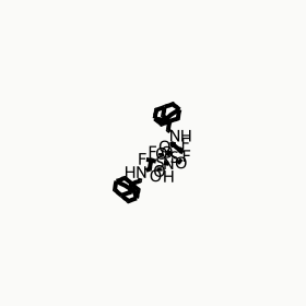 O=C(NCC12CC3CC(CC(C3)C1)C2)C(F)(F)S(=O)(=O)NS(=O)(=O)C(F)(F)C(=O)NCC12CC3CC(CC(C3)C1)C2